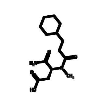 CN(C(=O)CCC1CCCCC1)[C@@H](CC(=O)O)C(N)=O